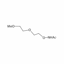 COCCOCCO[N]C(C)=O